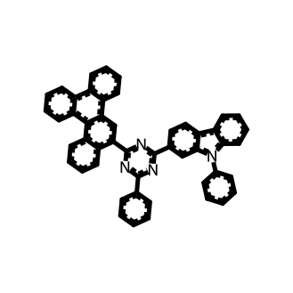 c1ccc(-c2nc(-c3ccc4c5ccccc5n(-c5ccccc5)c4c3)nc(-c3cc4c5ccccc5c5ccccc5c4c4ccccc34)n2)cc1